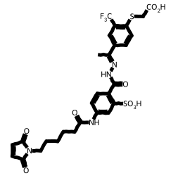 C/C(=N\NC(=O)c1ccc(NC(=O)CCCCCN2C(=O)C=CC2=O)cc1S(=O)(=O)O)c1ccc(SCC(=O)O)c(C(F)(F)F)c1